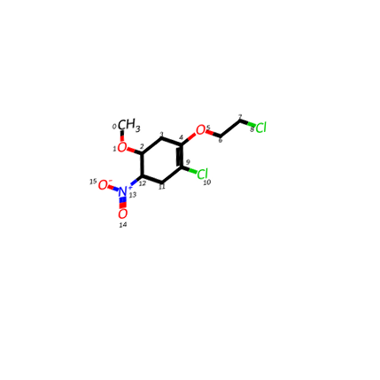 COC1CC(OCCCl)=C(Cl)CC1[N+](=O)[O-]